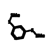 CSSc1c[c]cc(SSC)c1